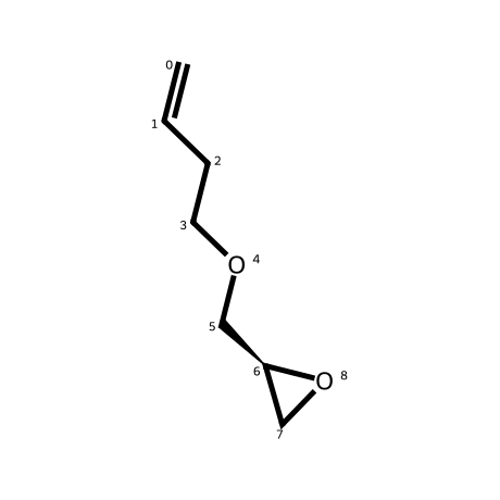 C=CCCOC[C@@H]1CO1